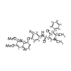 COc1cc2nccc(Oc3ccc(NC(=O)c4cn(C)c(C)c(-c5ccccc5)c4=O)cc3F)c2nc1OC